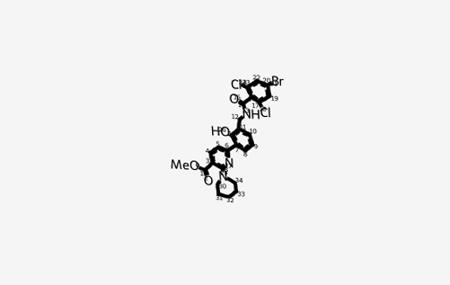 COC(=O)c1ccc(-c2cccc(CNC(=O)c3c(Cl)cc(Br)cc3Cl)c2O)nc1N1CCCCC1